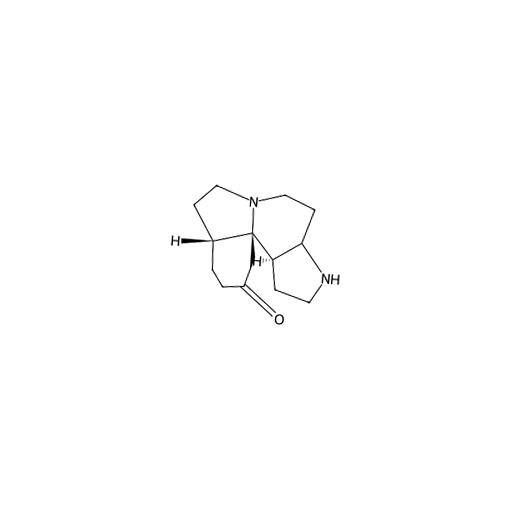 O=C1CC[C@@H]2CCN3CCC4NCC[C@H]4[C@]23C1